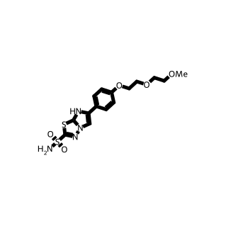 COCCOCCOc1ccc(C2=CN3N=C(S(N)(=O)=O)SC3N2)cc1